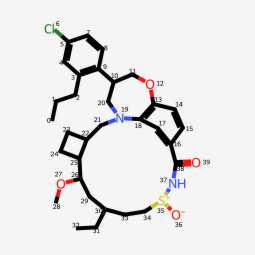 CCCc1cc(Cl)ccc1C1COc2ccc3cc2N(C1)CC1CCC1C(OC)CC(CC)CC[S+]([O-])NC3=O